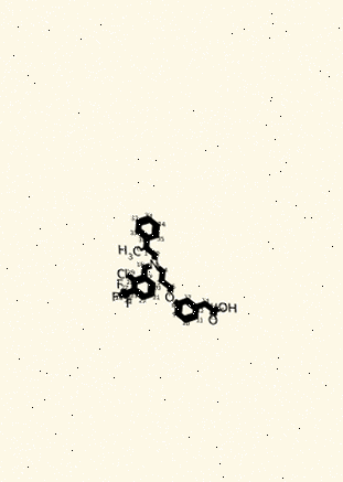 C[C@H](CN(CCCOc1cccc(CC(=O)O)c1)Cc1cccc(C(F)(F)F)c1Cl)c1ccccc1